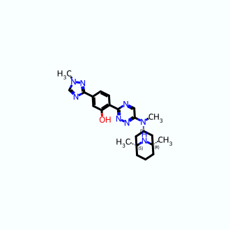 CN(c1cnc(-c2ccc(-c3ncn(C)n3)cc2O)nn1)[C@H]1C[C@]2(C)CCC[C@](C)(C1)N2